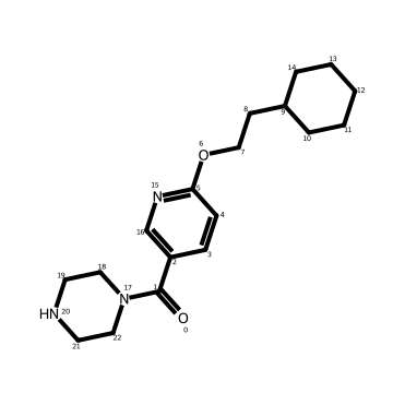 O=C(c1ccc(OCCC2CCCCC2)nc1)N1CCNCC1